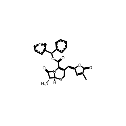 CC1=C/C(=C\C2=C(C(=O)OC(c3ccccc3)c3ccccc3)N3C(=O)[C@@H](N)[C@H]3SC2)OC1=O